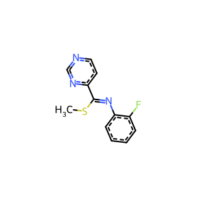 CS/C(=N\c1ccccc1F)c1ccncn1